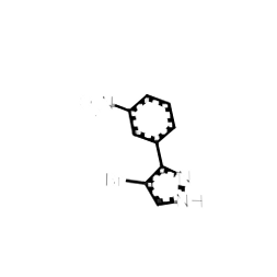 O=[N+]([O-])c1cccc(-c2n[nH]cc2Br)c1